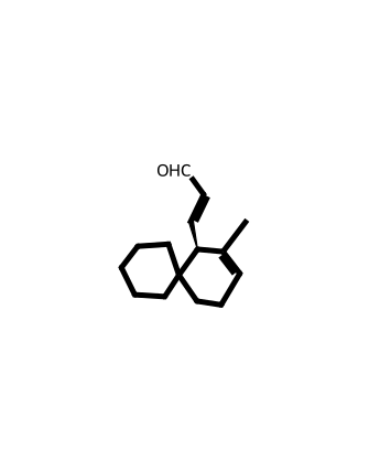 CC1=CCCC2(CCCCC2)[C@H]1/C=C/C=O